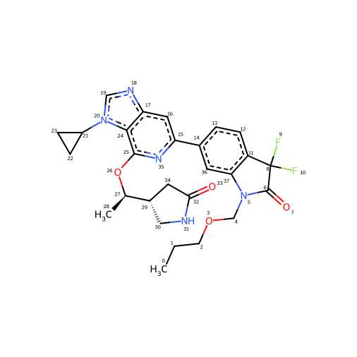 CCCOCN1C(=O)C(F)(F)c2ccc(-c3cc4ncn(C5CC5)c4c(O[C@H](C)[C@H]4CNC(=O)C4)n3)cc21